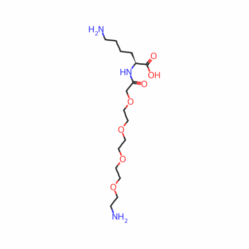 NCCCC[C@H](NC(=O)COCCOCCOCCOCCN)C(=O)O